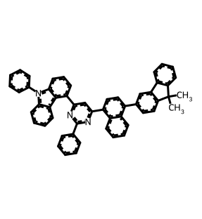 CC1(C)c2ccccc2-c2cc(-c3ccc(-c4cc(-c5cccc6c5c5ccccc5n6-c5ccccc5)nc(-c5ccccc5)n4)c4ccccc34)ccc21